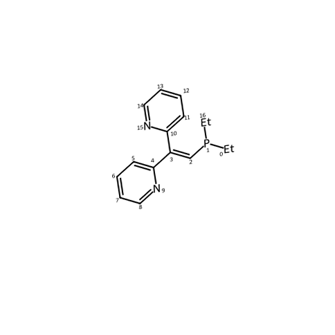 CCP(C=C(c1ccccn1)c1ccccn1)CC